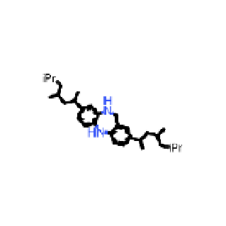 CC(C)CC(C)CC(C)c1ccc2c(c1)CNc1cc(C(C)CC(C)CC(C)C)ccc1N2